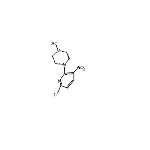 CC(=O)N1CCN(c2nc(Cl)ccc2[N+](=O)[O-])CC1